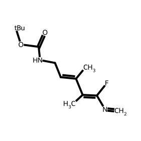 C=N/C(F)=C(\C)C(C)=CCNC(=O)OC(C)(C)C